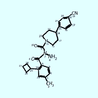 Cc1ccc(C(=O)N(N)C(=O)N2CCC(c3ccc(C#N)cc3)CC2)c(C2CCC2)c1